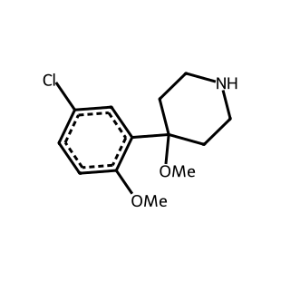 COc1ccc(Cl)cc1C1(OC)CCNCC1